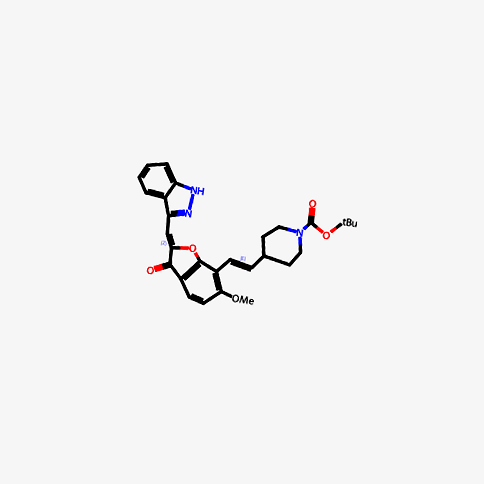 COc1ccc2c(c1/C=C/C1CCN(C(=O)OC(C)(C)C)CC1)O/C(=C\c1n[nH]c3ccccc13)C2=O